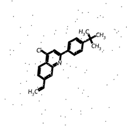 C=Cc1ccc2c(Cl)cc(-c3ccc(C(C)(C)C)cc3)nc2c1